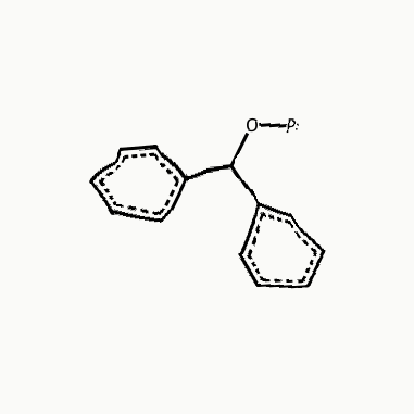 [P]OC(c1ccccc1)c1ccccc1